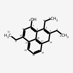 CCC1=C(CC)c2c(O)cc(CC)c3cccc(c23)C1